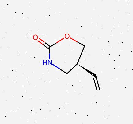 C=C[C@H]1CNC(=O)OC1